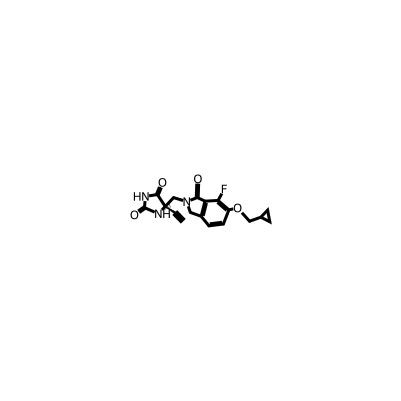 C#C[C@@]1(CN2Cc3ccc(OCC4CC4)c(F)c3C2=O)NC(=O)NC1=O